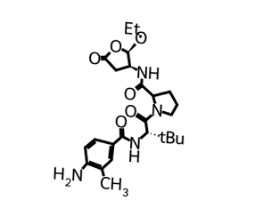 CCO[C@@H]1OC(=O)C[C@@H]1NC(=O)C1CCCN1C(=O)[C@@H](NC(=O)c1ccc(N)c(C)c1)C(C)(C)C